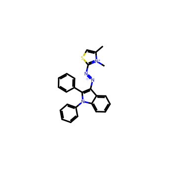 Cc1csc(/N=N/c2c(-c3ccccc3)n(-c3ccccc3)c3ccccc23)[n+]1C